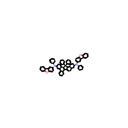 c1ccc(N(c2ccc3c4c(ccc3c2)-c2c(c3ccc(N(c5ccccc5)c5ccc6oc7ccccc7c6c5)cc3c3ccccc23)C4(c2ccccc2)c2ccccc2)c2ccc3oc4ccccc4c3c2)cc1